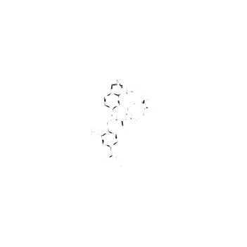 CCn1ncc2ccc(N(Cc3ccc(C(=O)OC)cc3F)C(=O)N3CCS(=O)(=O)CC3)cc21